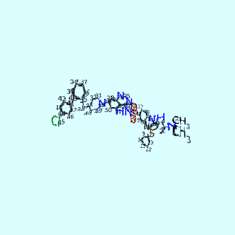 CN(C)CC[C@H](CSc1ccccc1)Nc1ccc(S(=O)(=O)Nc2ncnc3cc(N4CCC(Cc5ccccc5-c5ccc(Cl)cc5)CC4)ccc23)cc1[N+](=O)[O-]